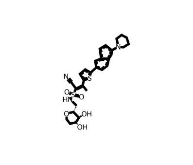 C/C(=C(/C#N)S(=O)(=O)NC[C@H]1OCC[C@@H](O)[C@@H]1O)c1ccc(-c2ccc3cc(N4CCCCC4)ccc3c2)s1